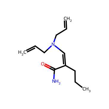 C=CCN(C=C(CCC)C(N)=O)CC=C